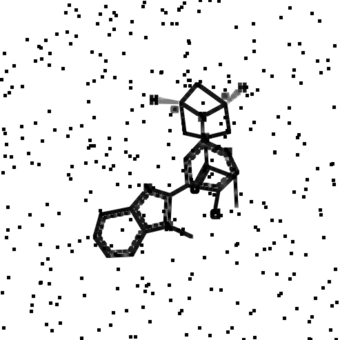 CCC(=O)N1C[C@H]2C[C@@H](C1)N2c1cc(-c2nc3ccccc3n2C)c(Cl)cn1